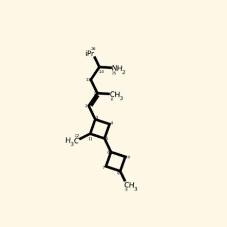 C/C(=C\C1CC(C2CC(C)C2)C1C)CC(N)C(C)C